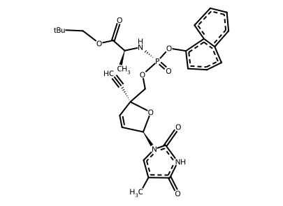 C#C[C@@]1(CO[P@@](=O)(N[C@@H](C)C(=O)OCC(C)(C)C)Oc2cccc3ccccc23)C=C[C@H](n2cc(C)c(=O)[nH]c2=O)O1